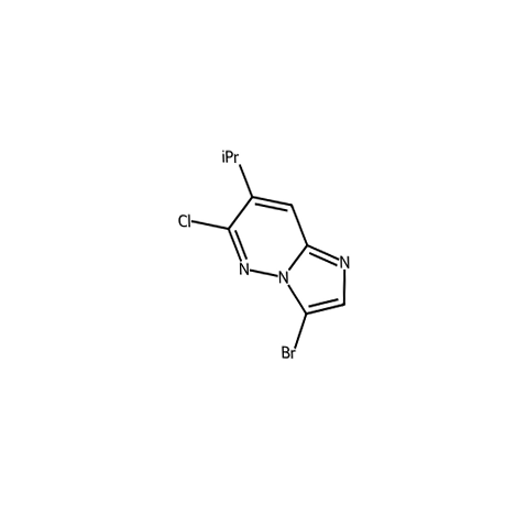 CC(C)c1cc2ncc(Br)n2nc1Cl